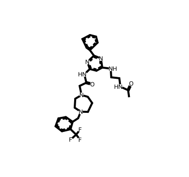 CC(=O)NCCNc1cc(NC(=O)CN2CCCN(Cc3ccccc3C(F)(F)F)CC2)nc(-c2ccccc2)n1